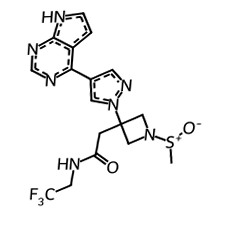 C[S+]([O-])N1CC(CC(=O)NCC(F)(F)F)(n2cc(-c3ncnc4[nH]ccc34)cn2)C1